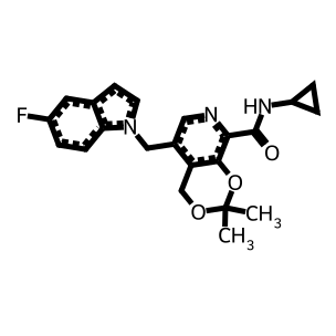 CC1(C)OCc2c(Cn3ccc4cc(F)ccc43)cnc(C(=O)NC3CC3)c2O1